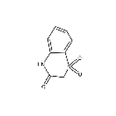 O=C1CS(=O)(=O)c2cc[c]cc2N1